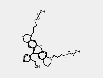 O=C(O)c1ccccc1C1=c2cc3c(cc2Oc2cc4c(cc21)CCCN4CCCSOOO)=[N+](CCCSOOO)CCC3